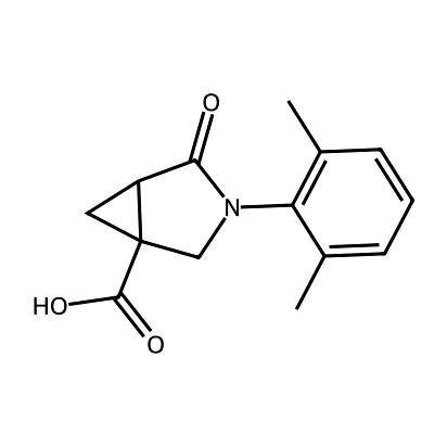 Cc1cccc(C)c1N1CC2(C(=O)O)CC2C1=O